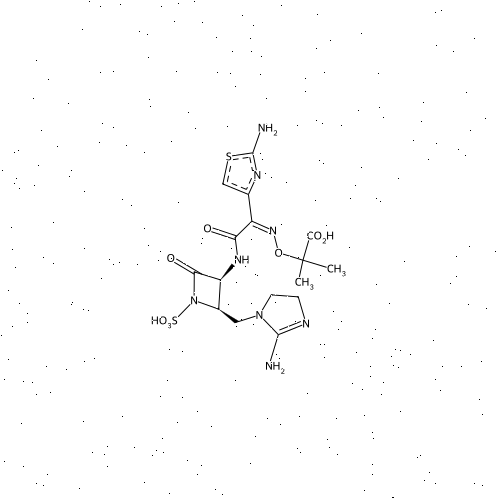 CC(C)(ON=C(C(=O)N[C@@H]1C(=O)N(S(=O)(=O)O)[C@@H]1CN1CCN=C1N)c1csc(N)n1)C(=O)O